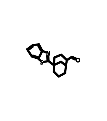 O=CC1CCC2(c3nc4ccccc4s3)CCCC1C2